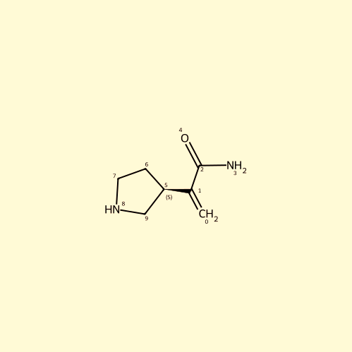 C=C(C(N)=O)[C@@H]1CCNC1